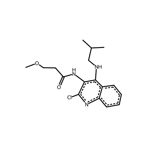 COCCC(=O)Nc1c(Cl)nc2ccccc2c1NCC(C)C